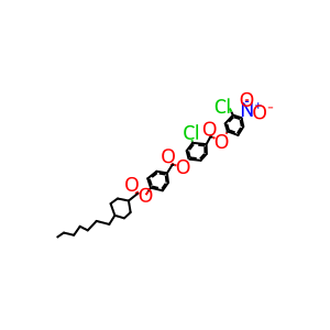 CCCCCCCC1CCC(C(=O)Oc2ccc(C(=O)Oc3ccc(C(=O)Oc4ccc([N+](=O)[O-])c(Cl)c4)c(Cl)c3)cc2)CC1